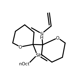 C=C[SiH](C)C1(C2([SiH](C)CCCCCCCC)CCCCO2)CCCCO1